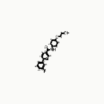 O=C(NC1CCC(OCCO)CC1)c1ccc(-c2cccc(F)c2)nc1